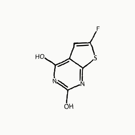 Oc1nc(O)c2cc(F)sc2n1